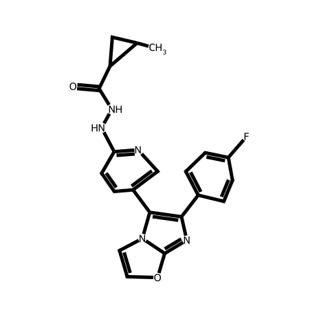 CC1CC1C(=O)NNc1ccc(-c2c(-c3ccc(F)cc3)nc3occn23)cn1